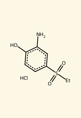 CCS(=O)(=O)c1ccc(O)c(N)c1.Cl